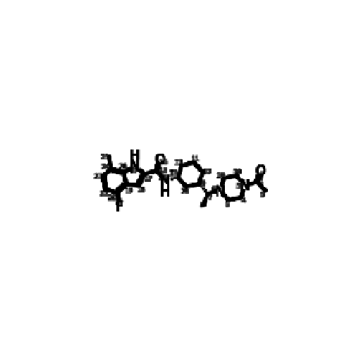 CC(=O)N1CCN(C(C)[C@H]2CCC[C@@H](NC(=O)c3cc4c(F)ccc(C)c4[nH]3)C2)CC1